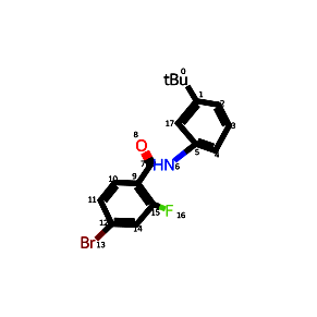 CC(C)(C)c1cccc(NC(=O)c2ccc(Br)cc2F)c1